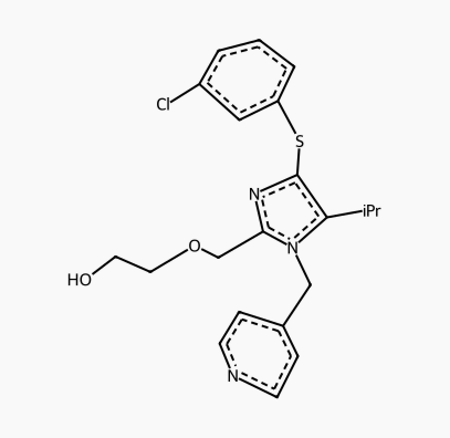 CC(C)c1c(Sc2cccc(Cl)c2)nc(COCCO)n1Cc1ccncc1